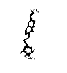 CCCC1CCC2CC(CCc3cc(F)c(OC)c(F)c3)CCC2C1